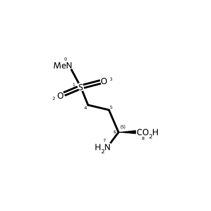 CNS(=O)(=O)CC[C@H](N)C(=O)O